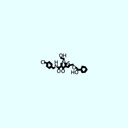 O=C(NCc1ccc(Cl)cc1)c1cn(CCO)c2sc(COC[C@H](O)c3ccccc3)cc2c1=O